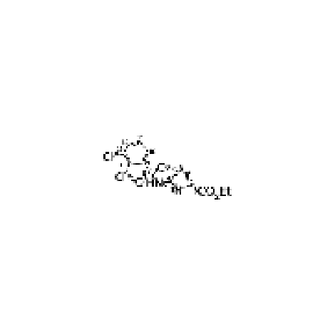 CCOC(=O)c1csc(NS(=O)(=O)c2cccc(Cl)c2Cl)n1